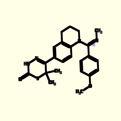 C/N=C(/c1ccc(OC)cc1)N1CCCc2cc(C3=NNC(=O)SC3(C)C)ccc21